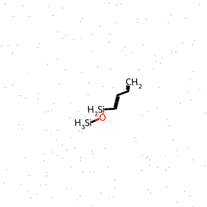 C=CC=C[SiH2]O[SiH3]